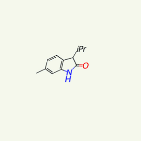 Cc1ccc2c(c1)NC(=O)C2C(C)C